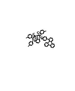 Cc1ccc(N2c3cccc4c3B(c3sc5ccc(C)cc5c32)c2sc3ccc(C)cc3c2N4c2ccc(-c3cccc4c5ccccc5c5ccccc5c34)cc2)cc1